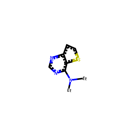 CCN(CC)c1ncnc2ccsc12